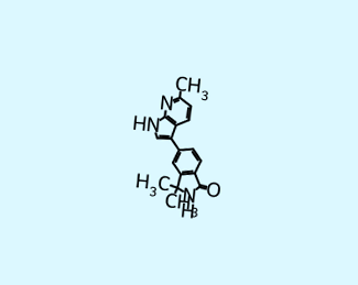 Cc1ccc2c(-c3ccc4c(c3)C(C)(C)NC4=O)c[nH]c2n1